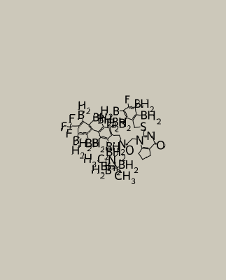 Bc1c(B)c(CSc2nc(=O)c3c(n2CC(=O)N(CCN(C(B)(B)C)C(B)(B)C)Cc2c(B)c(B)c(-c4c(B)c(B)c(C(F)(F)F)c(B)c4B)c(B)c2B)CCC3)c(B)c(B)c1F